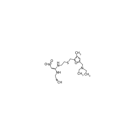 C#CCN/C(=C/[N+](=O)[O-])NCCSCc1oc(CN(CC)CC)cc1C